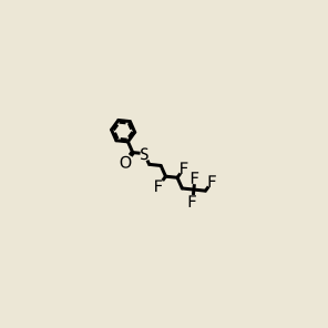 O=C(SCCC(F)C(F)CC(F)(F)CF)c1ccccc1